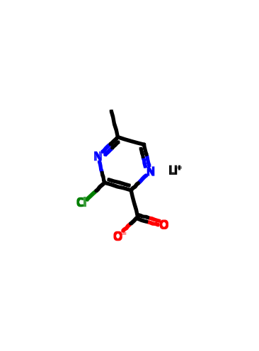 Cc1cnc(C(=O)[O-])c(Cl)n1.[Li+]